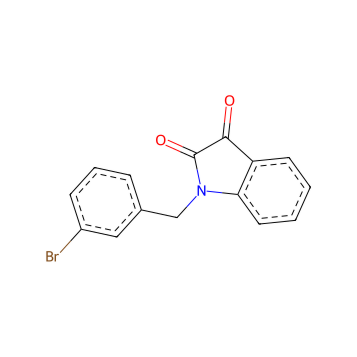 O=C1C(=O)N(Cc2cccc(Br)c2)c2ccccc21